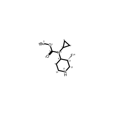 CC(C)(C)OC(=O)N(C1CC1)C1CCNC[C@H]1F